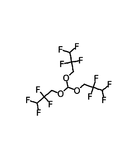 FC(F)C(F)(F)COC(OCC(F)(F)C(F)F)OCC(F)(F)C(F)F